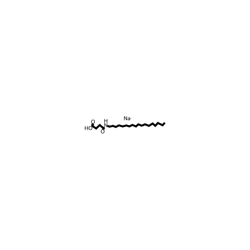 CCCCCCCCCCCCCCCCCCNC(=O)CCC(=O)O.[Na]